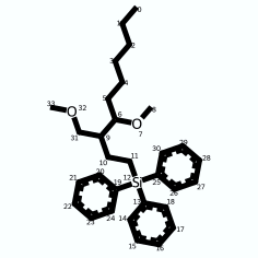 CCCCCCC(OC)C(CC[Si](c1ccccc1)(c1ccccc1)c1ccccc1)COC